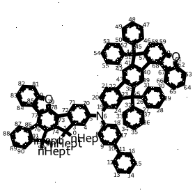 CCCCCCCC1(CCCCCCC)c2cc(N(c3ccc(-c4ccccc4)cc3)c3ccc4c(c3)C(c3ccccc3)(c3ccccc3)c3cc5c(cc3-4)C(c3ccccc3)(c3ccccc3)c3ccc4oc6ccccc6c4c3-5)ccc2-c2c1c1c(c3c2oc2ccccc23)-c2ccccc2C1(CCCCCCC)CCCCCCC